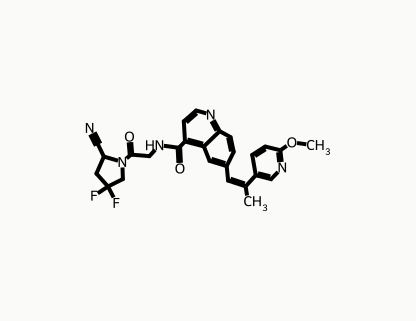 COc1ccc(C(C)=Cc2ccc3nccc(C(=O)NCC(=O)N4CC(F)(F)CC4C#N)c3c2)cn1